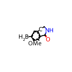 Bc1cc2c(c(OC)c1)C(=O)NCC2